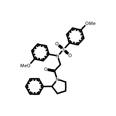 COc1ccc(S(=O)(=O)N(CC(=O)N2CCCC2c2ccccc2)c2cccc(OC)c2)cc1